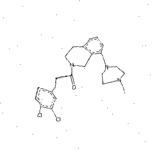 CN1CCN(c2cccc3c2CN(C(=O)Cc2ccc(Cl)c(Cl)c2)CC3)CC1